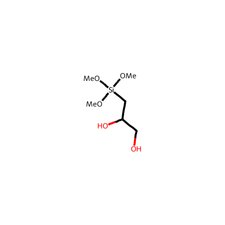 CO[Si](CC(O)CO)(OC)OC